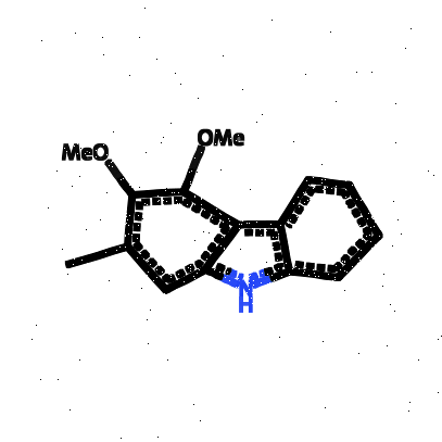 COc1c(C)cc2[nH]c3ccccc3c2c1OC